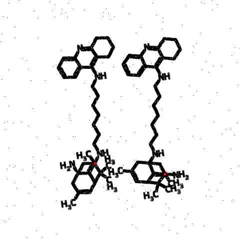 C/C=C1/C2C=C(C)C[C@]1(N)CC(NCCCCCCCNc1c3c(nc4ccccc14)CCCC3)C2(C)C.C/C=C1\C2C=C(C)CC1(NCCCCCCCNc1c3c(nc4ccccc14)CCCC3)CC(N)C2(C)C